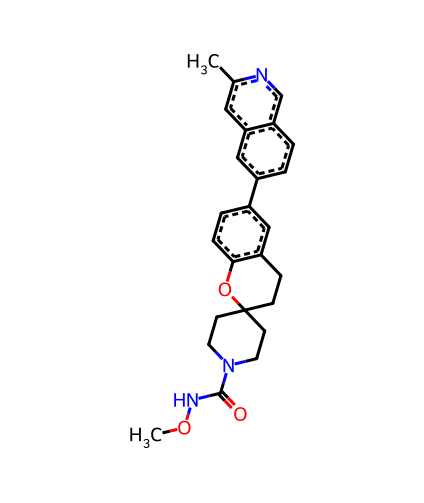 CONC(=O)N1CCC2(CCc3cc(-c4ccc5cnc(C)cc5c4)ccc3O2)CC1